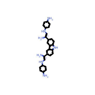 N/C(=C\Nc1ccc(N)cc1)c1ccc2[nH]c3ccc(/C(N)=C/Nc4ccc(N)cc4)cc3c2c1